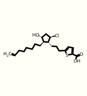 C=CCCCCCC[C@@H]1[C@@H](CCCc2ccc(C(=O)O)s2)[C@H](Cl)C[C@H]1O